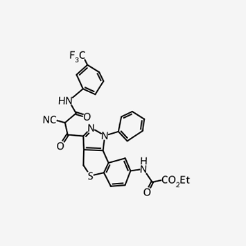 CCOC(=O)C(=O)Nc1ccc2c(c1)-c1c(c(C(=O)C(C#N)C(=O)Nc3cccc(C(F)(F)F)c3)nn1-c1ccccc1)CS2